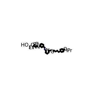 CCC(CC)(CC(=O)Nc1cccc(/C=C/c2cccc(COCCCCc3ccc(OC(C)C)cc3)n2)c1)C(=O)O